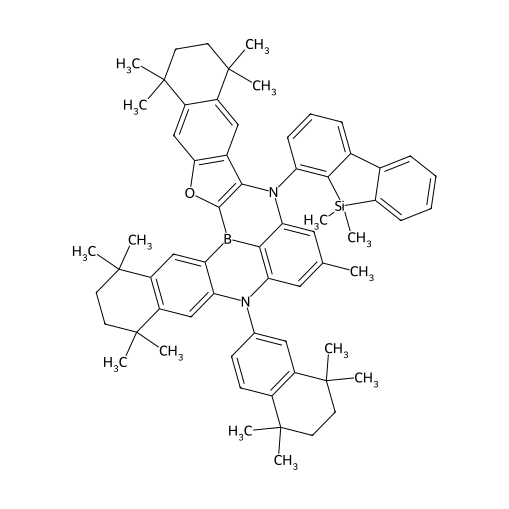 Cc1cc2c3c(c1)N(c1cccc4c1[Si](C)(C)c1ccccc1-4)c1c(oc4cc5c(cc14)C(C)(C)CCC5(C)C)B3c1cc3c(cc1N2c1ccc2c(c1)C(C)(C)CCC2(C)C)C(C)(C)CCC3(C)C